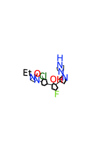 CCN1CCN(c2ccc(-c3cc(F)cc(-c4ccnc(N5CCNCC5)c4)c3O)cc2Cl)C1=O